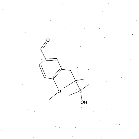 COc1ccc(C=O)cc1CC(C)(C)[Si](C)(C)O